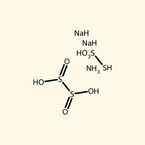 N.O=S(=O)(O)S.O=S(O)S(=O)O.[NaH].[NaH]